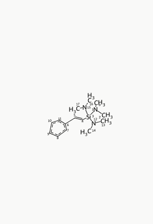 CN(C)[Si](C=Cc1ccccc1)(N(C)C)N(C)C